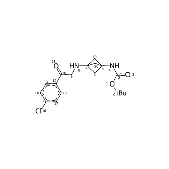 CC(C)(C)OC(=O)NC12CC(NCC(=O)c3ccc(Cl)cc3)(C1)C2